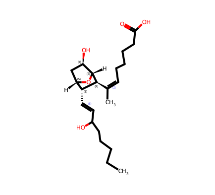 CCCCCC(O)/C=C/[C@H]1[C@H](/C(C)=C\CCCCC(=O)O)[C@@H]2O[C@H]1C[C@H]2O